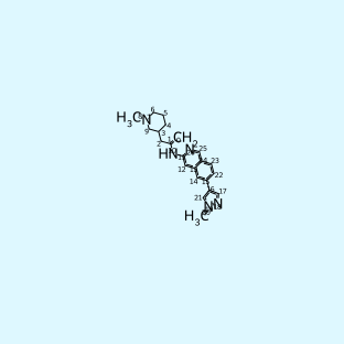 C=C(CC1CCCN(C)C1)Nc1cc2cc(-c3cnn(C)c3)ccc2cn1